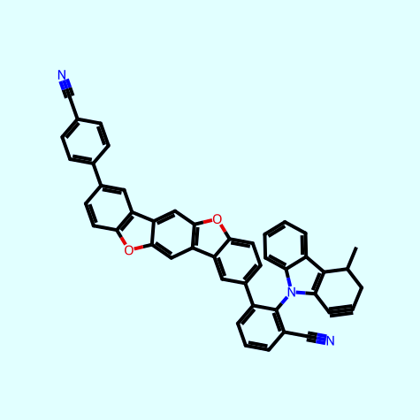 CC1CC#Cc2c1c1ccccc1n2-c1c(C#N)cccc1-c1ccc2oc3cc4c(cc3c2c1)oc1ccc(-c2ccc(C#N)cc2)cc14